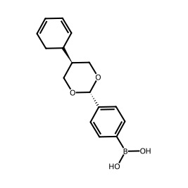 OB(O)c1ccc([C@H]2OC[C@H](C3C=CC=CC3)CO2)cc1